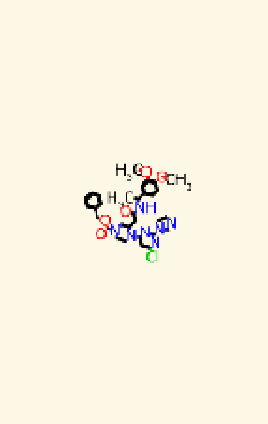 COc1ccc(C(C)NC(=O)CC2CN(C(=O)OCc3ccccc3)CCN2c2cc(Cl)nc(-n3ccnc3)n2)cc1OC